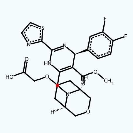 COC(=O)C1=C(CN2[C@@H]3COC[C@H]2CC(OCC(=O)O)C3)NC(c2nccs2)=N[C@H]1c1ccc(F)c(F)c1